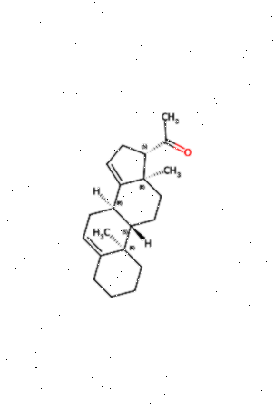 CC(=O)[C@H]1CC=C2[C@@H]3CC=C4CCCC[C@]4(C)[C@H]3CC[C@@]21C